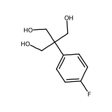 OCC(CO)(CO)c1ccc(F)cc1